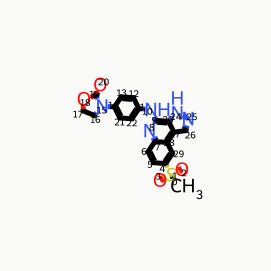 CS(=O)(=O)c1ccc2nc(Nc3ccc(N4CCOC4=O)cc3)c3[nH]ncc3c2c1